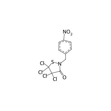 O=C1N(Cc2ccc([N+](=O)[O-])cc2)SC(Cl)(Cl)C1(Cl)Cl